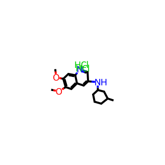 COc1cc2cc(NC3CCCC(C)C3)cnc2cc1OC.Cl.Cl